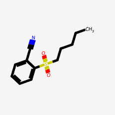 CCCCCS(=O)(=O)c1ccccc1C#N